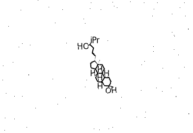 CC(C)[C@H](O)CCC[C@H]1CC[C@H]2[C@@H]3CC[C@H]4C[C@@](C)(O)CC[C@@H]4[C@H]3CC[C@]12C